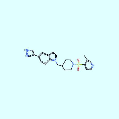 Cc1cnccc1S(=O)(=O)N1CCC(Cn2ccc3cc(-c4cn[nH]c4)ccc32)CC1